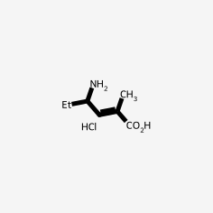 CCC(N)C=C(C)C(=O)O.Cl